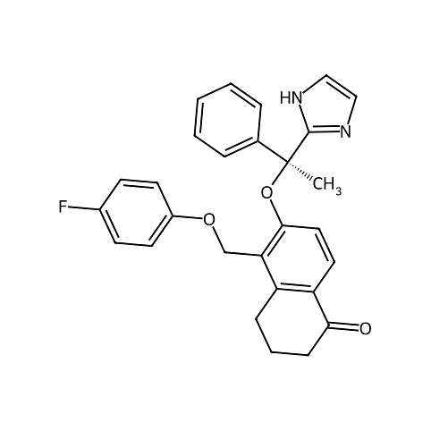 C[C@](Oc1ccc2c(c1COc1ccc(F)cc1)CCCC2=O)(c1ccccc1)c1ncc[nH]1